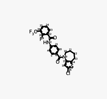 O=C(Nc1ccc(C(=O)N2CCCCc3sc(Cl)cc32)cc1)c1cccc(C(F)(F)F)c1F